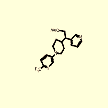 COCC(c1cccnc1)C1CCN(c2ccc(C(F)(F)F)nc2)CC1